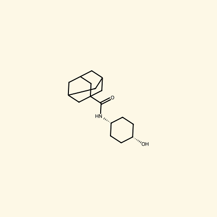 O=C(N[C@H]1CC[C@@H](O)CC1)C12CC3CC(CC(C3)C1)C2